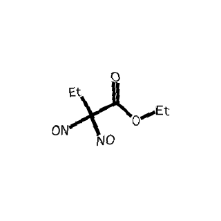 CCOC(=O)C(CC)(N=O)N=O